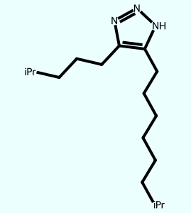 CC(C)CCCCCCc1[nH]nnc1CCCC(C)C